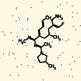 C/C=C/C=C(C[C@H](C)C/C(=C/F)CN)/C(=N/C)/N=C(\C)N1CCC(C)C1